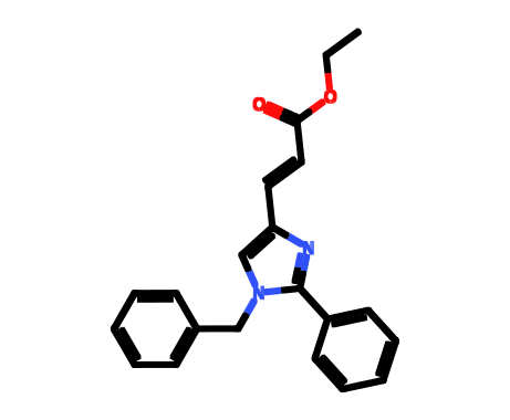 CCOC(=O)/C=C/c1cn(Cc2ccccc2)c(-c2ccccc2)n1